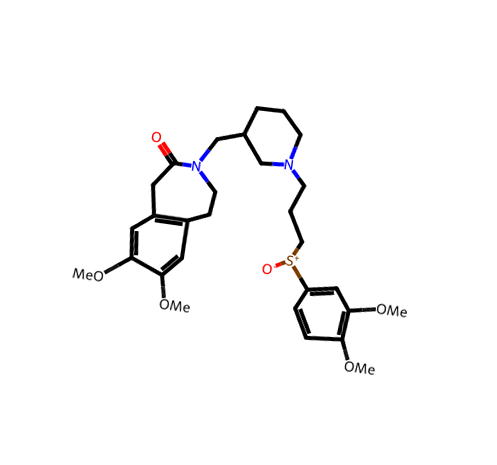 COc1ccc([S+]([O-])CCCN2CCCC(CN3CCc4cc(OC)c(OC)cc4CC3=O)C2)cc1OC